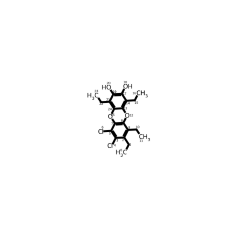 CCc1c(Cl)c(Cl)c2c(c1CC)Oc1c(CC)c(O)c(O)c(CC)c1O2